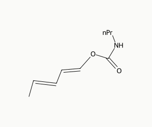 CC=CC=COC(=O)NCCC